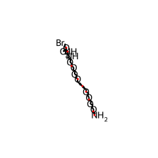 NCCOCCOCCOCCOCC#CC#CCOCCOCCOCCOCCNSNC(=O)OCCBr